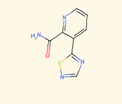 NC(=O)c1ncccc1-c1ncns1